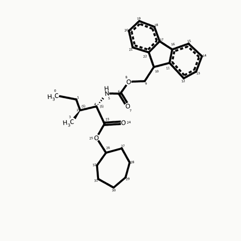 CC[C@H](C)[C@H](NC(=O)OCC1c2ccccc2-c2ccccc21)C(=O)OC1CCCCCC1